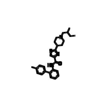 CCC(C)CN1CCC(c2nc(C(=O)Nc3ccccc3-c3ccc(C)cc3)cs2)CC1